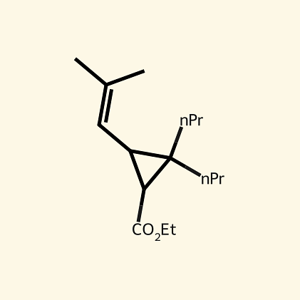 CCCC1(CCC)C(C=C(C)C)C1C(=O)OCC